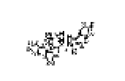 O=C(NC[C@@H]1CCN(CC(c2ccccc2)c2ccccc2)C(=O)CN1)c1ccc2cc(F)ccc2c1